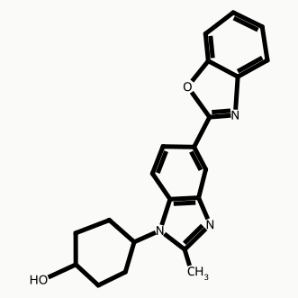 Cc1nc2cc(-c3nc4ccccc4o3)ccc2n1C1CCC(O)CC1